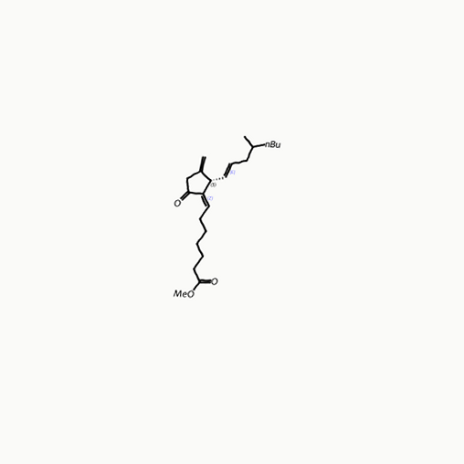 C=C1CC(=O)/C(=C\CCCCCC(=O)OC)[C@H]1/C=C/CC(C)CCCC